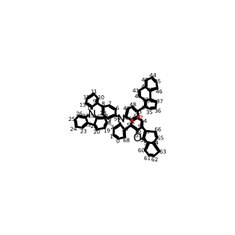 c1ccc(N(c2ccc(-c3ccccc3-n3c4ccccc4c4ccccc43)cc2)c2ccc(-c3cccc4c3ccc3ccccc34)cc2)c(-c2cccc3c2oc2c4ccccc4ccc32)c1